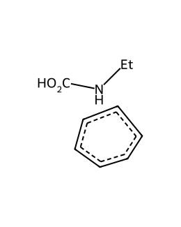 CCNC(=O)O.c1ccccc1